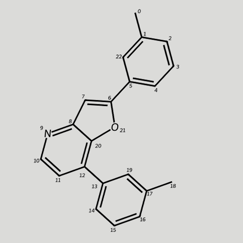 Cc1cccc(-c2cc3nccc(-c4cccc(C)c4)c3o2)c1